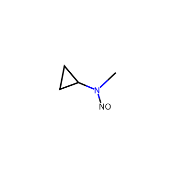 CN(N=O)C1CC1